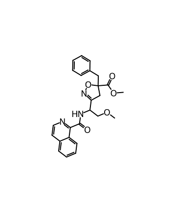 COCC(NC(=O)c1nccc2ccccc12)C1=NOC(Cc2ccccc2)(C(=O)OC)C1